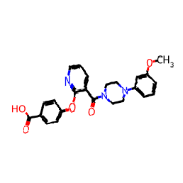 COc1cccc(N2CCN(C(=O)c3cccnc3Oc3ccc(C(=O)O)cc3)CC2)c1